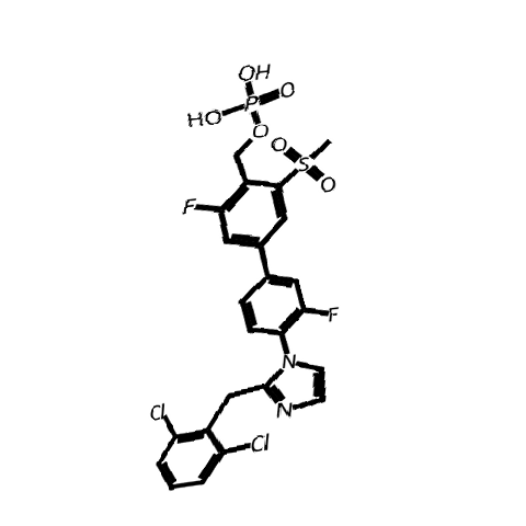 CS(=O)(=O)c1cc(-c2ccc(-n3ccnc3Cc3c(Cl)cccc3Cl)c(F)c2)cc(F)c1COP(=O)(O)O